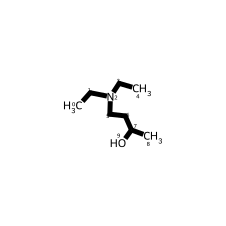 CCN(CC)CCC(C)O